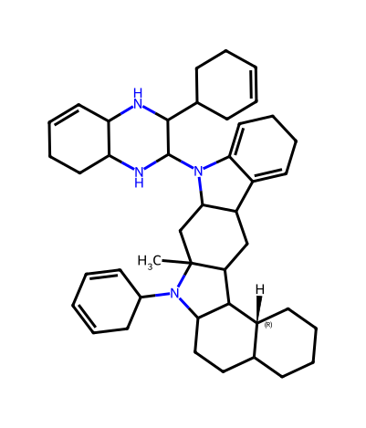 CC12CC3C(CC1C1C(CCC4CCCC[C@H]41)N2C1C=CC=CC1)C1=CCCC=C1N3C1NC2CCC=CC2NC1C1CC=CCC1